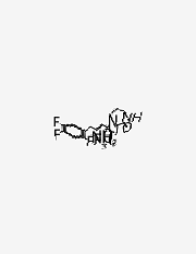 N/C(=C\C(=O)N1CCCNC(=O)C1CC(F)(F)F)Cc1cc(F)c(F)cc1F